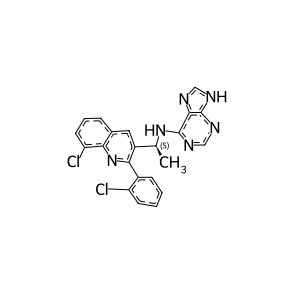 C[C@H](Nc1ncnc2[nH]cnc12)c1cc2cccc(Cl)c2nc1-c1ccccc1Cl